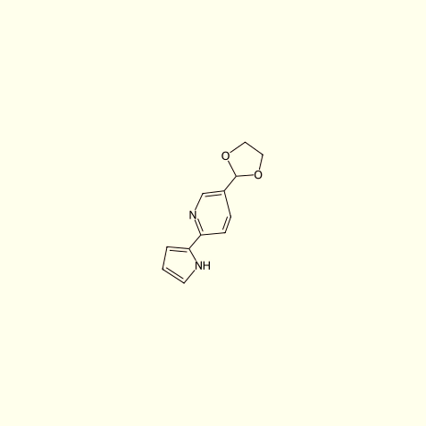 c1c[nH]c(-c2ccc(C3OCCO3)cn2)c1